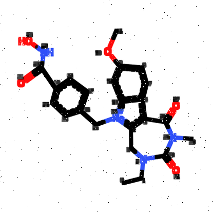 CCN1Cc2c(c3ccc(OC)cc3n2Cc2ccc(C(=O)NO)cc2)C(=O)N(C)C1=O